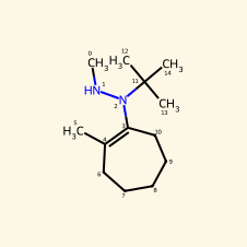 CNN(C1=C(C)CCCCC1)C(C)(C)C